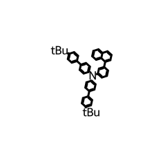 CC(C)(C)c1ccc(-c2ccc(N(c3ccc(-c4ccc(C(C)(C)C)cc4)cc3)c3cccc(-c4cccc5ccccc45)c3)cc2)cc1